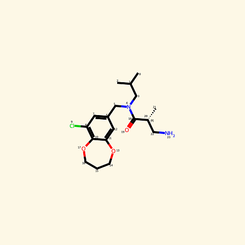 CC(C)CN(Cc1cc(Cl)c2c(c1)OCCCO2)C(=O)[C@H](C)CN